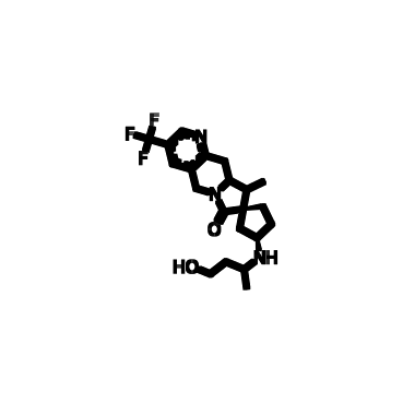 CC(CCO)N[C@@H]1CC[C@@]2(C1)C(=O)N1Cc3cc(C(F)(F)F)cnc3CC1C2C